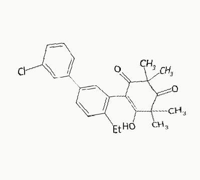 CCc1ccc(-c2cccc(Cl)c2)cc1C1=C(O)C(C)(C)C(=O)C(C)(C)C1=O